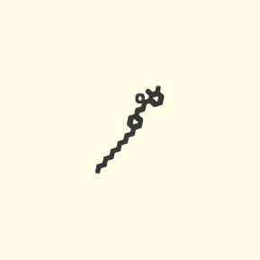 CCCCCCCCCCCc1ccc(C=CC(=O)c2cccc(C)c2C)cc1